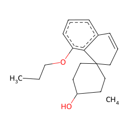 C.CCCOc1cccc2c1C1(CC=C2)CCC(O)CC1